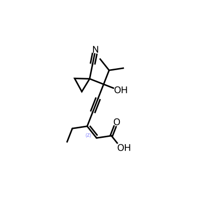 CC/C(C#CC(O)(C(C)C)C1(C#N)CC1)=C/C(=O)O